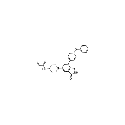 C=CC(=O)NC1CCN(c2cc3c(c(-c4ccc(Oc5ccccc5)cc4)c2)CNC3=O)CC1